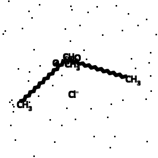 CCCCCCCCCCCCCCCCCC(=O)CC[N+](C)(C)CCC(=O)CCCCCCCCCCCCCCCCC.[Cl-]